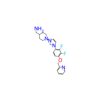 NCC1CCN(N2C=CN(c3ccc(OCc4ccccn4)c(F)c3F)C2)CC1